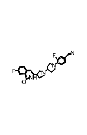 N#Cc1ccc(N2CCC(N3CCC(c4cc5ccc(F)cc5c(=O)[nH]4)C3)CC2)c(F)c1